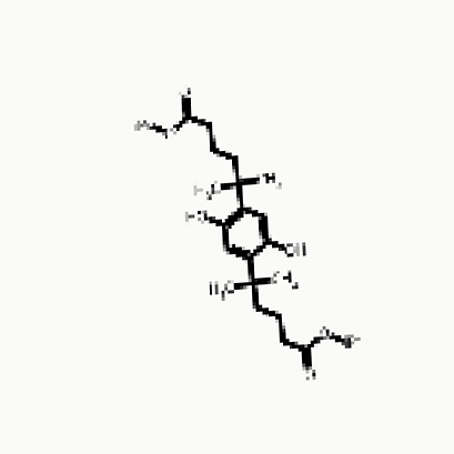 CC(C)OC(=O)CCCC(C)(C)c1cc(O)c(C(C)(C)CCCC(=O)OC(C)C)cc1O